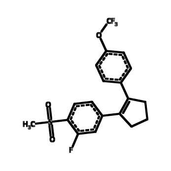 CS(=O)(=O)c1ccc(C2=C(c3ccc(OC(F)(F)F)cc3)CCC2)cc1F